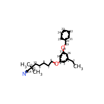 CCc1cc(OCCCCCC(C)(C)C#N)cc(OCc2ccccc2)c1